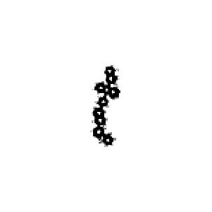 c1ccc2cc(-c3c4ccccc4c(-c4ccc(-c5ccc6cc7c(cc6c5)oc5c7ccc6sc7ccccc7c65)cc4)c4ccccc34)ccc2c1